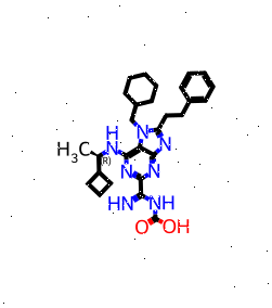 C[C@@H](Nc1nc(C(=N)NC(=O)O)nc2nc(CCc3ccccc3)n(CC3CCCCC3)c12)C1CCC1